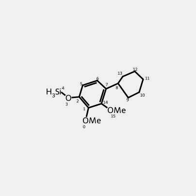 COc1c(O[SiH3])ccc(C2CCCCC2)c1OC